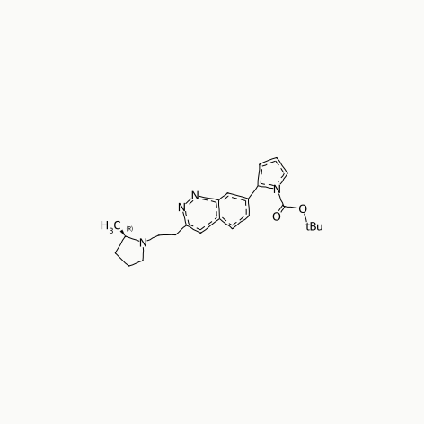 C[C@@H]1CCCN1CCc1cc2ccc(-c3cccn3C(=O)OC(C)(C)C)cc2nn1